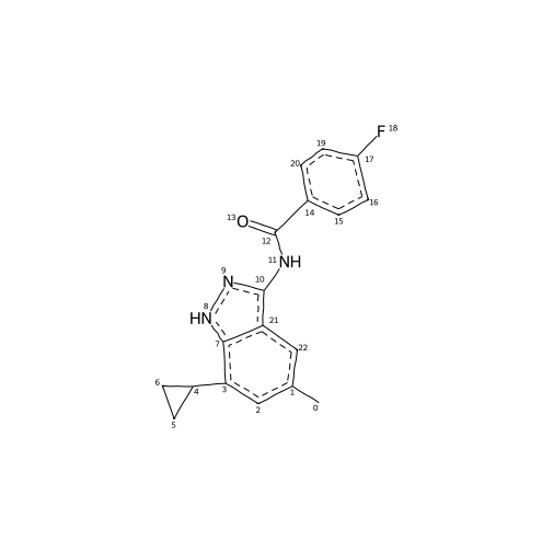 Cc1cc(C2CC2)c2[nH]nc(NC(=O)c3ccc(F)cc3)c2c1